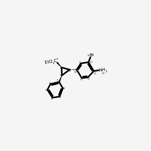 CCOC(=O)[C@@H]1[C@H](c2ccccc2)[C@H]1c1ccc(N)c(Br)c1